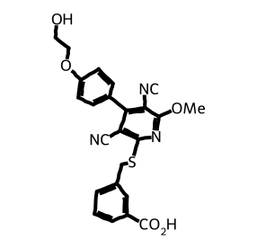 [C-]#[N+]c1c(OC)nc(SCc2cccc(C(=O)O)c2)c(C#N)c1-c1ccc(OCCO)cc1